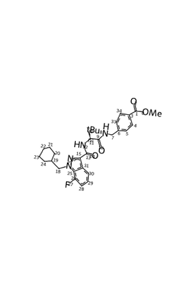 COC(=O)c1ccc(CNC(=O)[C@@H](NC(=O)c2nn(CC3CCCCC3)c3c(F)cccc23)C(C)(C)C)cc1